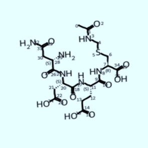 CC(=O)NCSC[C@H](NC(=O)[C@H](CCC(=O)O)NC(=O)[C@H](CC(=O)O)NC(=O)[C@@H](N)CC(N)=O)C(=O)O